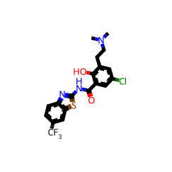 CN(C)CCc1cc(Cl)cc(C(=O)Nc2nc3ccc(C(F)(F)F)cc3s2)c1O